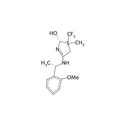 COc1ccccc1[C@H](C)NC1=N[C@H](O)S(C)(C(F)(F)F)C1